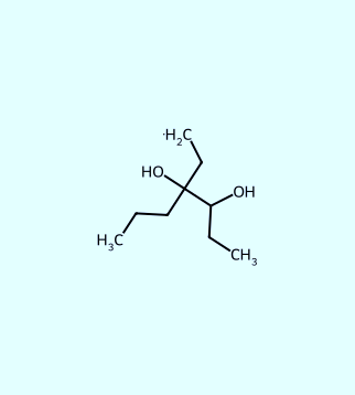 [CH2]CC(O)(CCC)C(O)CC